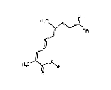 CC(=CC=CCC(C)CCC(C)C(C)C)C(=O)OC(C)C